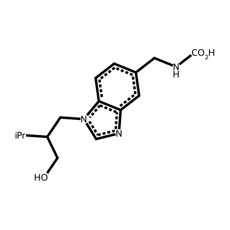 CC(C)C(CO)Cn1cnc2cc(CNC(=O)O)ccc21